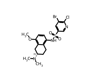 COc1ccc(NS(=O)(=O)c2cnc(Cl)c(Br)c2)c2c1C[C@@H](N(C)C)CC2